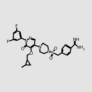 CC1CC1COc1c(N2CCN(S(=O)(=O)Cc3ccc(C(=N)N)cc3)CC2)cnn(-c2cc(F)cc(F)c2)c1=O